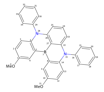 COc1ccc2c(c1)B1c3cc(OC)ccc3N(c3ccccc3)c3cccc(c31)N2c1ccccc1